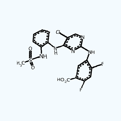 CS(=O)(=O)Nc1ccccc1Nc1nc(Nc2cc(C(=O)O)c(F)cc2F)ncc1Cl